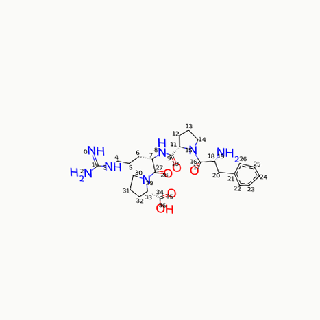 N=C(N)NCCC[C@H](NC(=O)[C@@H]1CCCN1C(=O)[C@H](N)Cc1ccccc1)C(=O)N1CCC[C@H]1C(=O)O